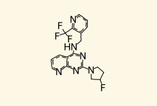 FC1CCN(c2nc(NCc3cccnc3C(F)(F)F)c3cccnc3n2)C1